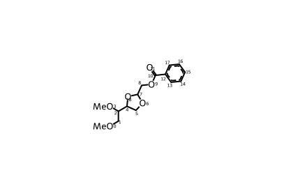 COCC(OC)C1COC(COC(=O)c2ccccc2)O1